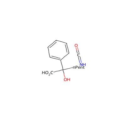 CCCCCC(O)(C(=O)O)c1ccccc1.N=C=O